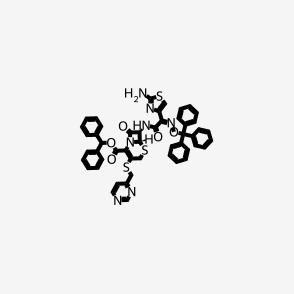 Nc1nc(/C(=N/OC(c2ccccc2)(c2ccccc2)c2ccccc2)C(=O)N[C@@H]2C(=O)N3C(C(=O)OC(c4ccccc4)c4ccccc4)=C(SCc4ccncn4)CS[C@H]23)cs1